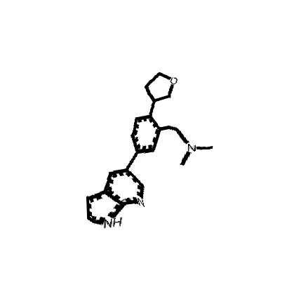 CN(C)Cc1cc(-c2cnc3[nH]ccc3c2)ccc1C1CCOC1